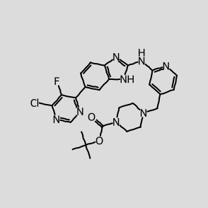 CC(C)(C)OC(=O)N1CCN(Cc2ccnc(Nc3nc4ccc(-c5ncnc(Cl)c5F)cc4[nH]3)c2)CC1